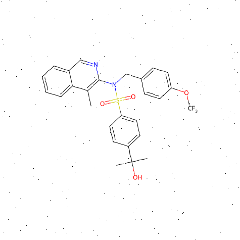 Cc1c(N(Cc2ccc(OC(F)(F)F)cc2)S(=O)(=O)c2ccc(C(C)(C)O)cc2)ncc2ccccc12